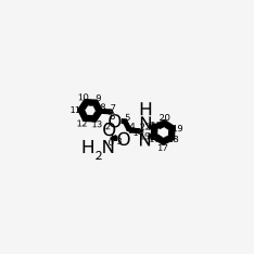 NC(=O)OC(COCc1ccccc1)c1nc2ccccc2[nH]1